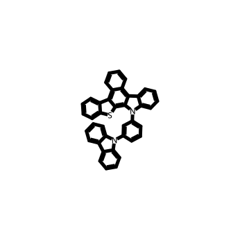 c1cc(-n2c3ccccc3c3ccccc32)cc(-n2c3ccccc3c3c4ccccc4c4c5ccccc5sc4c32)c1